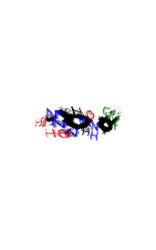 O=C(Nc1ccc(C(F)(F)F)c(Cl)c1)N1[C@@H]2CC[C@H]1c1cnc(O)nc1C2=NO